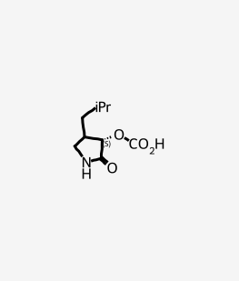 CC(C)CC1CNC(=O)[C@H]1OC(=O)O